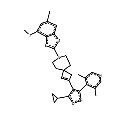 COc1cc(C)cc2sc(N3CCC4(C=C(c5c(-c6c(C)cncc6C)noc5C5CC5)C4)CC3)nc12